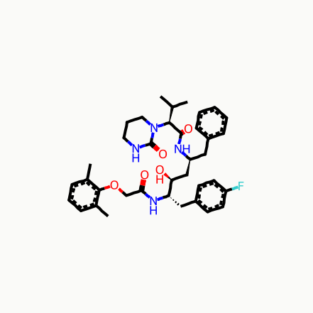 Cc1cccc(C)c1OCC(=O)N[C@@H](Cc1ccc(F)cc1)[C@@H](O)C[C@H](Cc1ccccc1)NC(=O)[C@H](C(C)C)N1CCCNC1=O